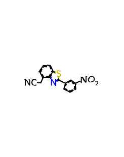 N#CCc1cccc2sc(-c3cccc([N+](=O)[O-])c3)nc12